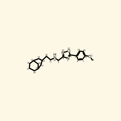 COc1ccc(-c2nc(CNCCC3CC4CCCC(C4)C3)no2)cc1